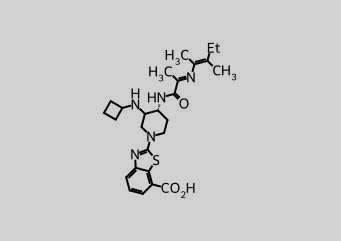 CC/C(C)=C(C)/N=C(\C)C(=O)N[C@@H]1CCN(c2nc3cccc(C(=O)O)c3s2)CC1NC1CCC1